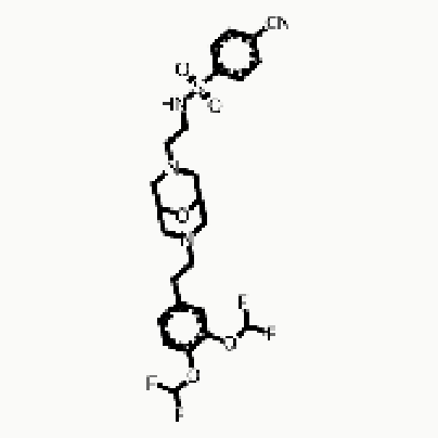 N#Cc1ccc(S(=O)(=O)NCCN2CC3CN(CCc4ccc(OC(F)F)c(OC(F)F)c4)CC(C2)O3)cc1